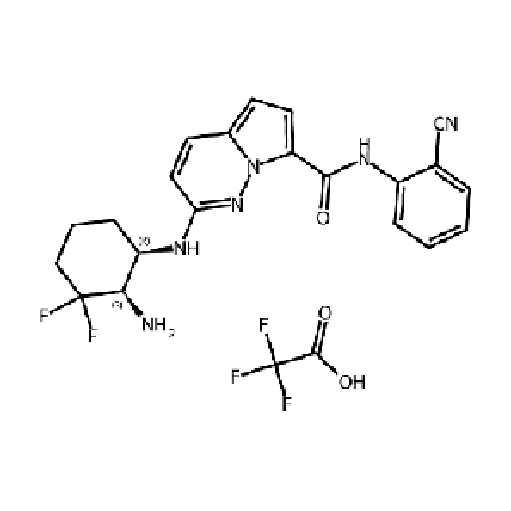 N#Cc1ccccc1NC(=O)c1ccc2ccc(N[C@@H]3CCCC(F)(F)[C@@H]3N)nn12.O=C(O)C(F)(F)F